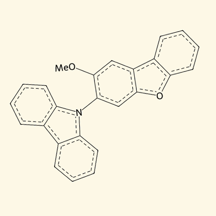 COc1cc2c(cc1-n1c3ccccc3c3ccccc31)oc1ccccc12